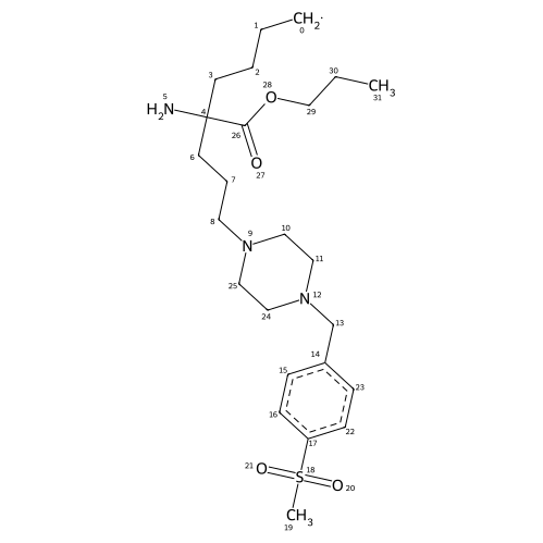 [CH2]CCCC(N)(CCCN1CCN(Cc2ccc(S(C)(=O)=O)cc2)CC1)C(=O)OCCC